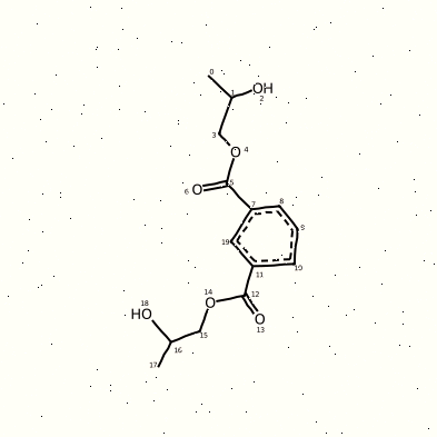 CC(O)COC(=O)c1cccc(C(=O)OCC(C)O)c1